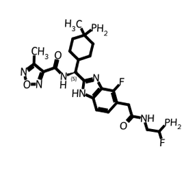 Cc1nonc1C(=O)N[C@H](c1nc2c(F)c(CC(=O)NCC(F)P)ccc2[nH]1)C1CCC(C)(P)CC1